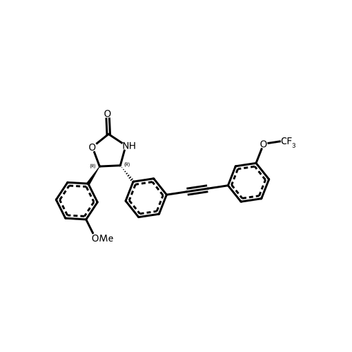 COc1cccc([C@H]2OC(=O)N[C@@H]2c2cccc(C#Cc3cccc(OC(F)(F)F)c3)c2)c1